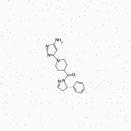 Nc1cc(N2CCC(C(=O)N3N=CC[C@H]3c3ccccc3)CC2)ncn1